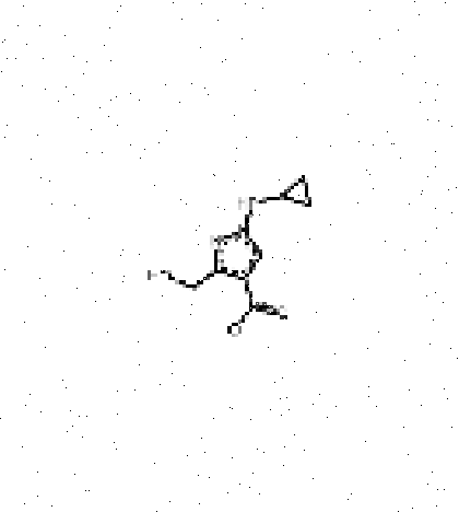 O=[N+]([O-])c1cn(PC2CC2)nc1CO